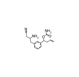 C=CCC(OC(N)=O)c1cccc(CC(N)CC#N)c1